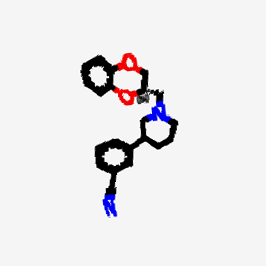 N#Cc1cccc(C2CCCN(C[C@H]3COc4ccccc4O3)C2)c1